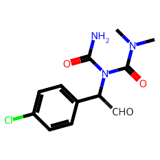 CN(C)C(=O)N(C(N)=O)C(C=O)c1ccc(Cl)cc1